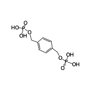 O=P(O)(O)OCc1ccc(COP(=O)(O)O)cc1